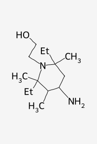 CCC1(C)CC(N)C(C)C(C)(CC)N1CCO